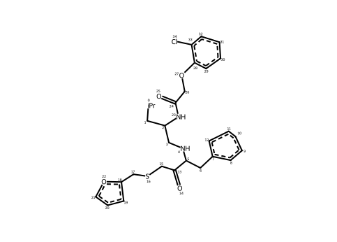 CC(C)CC(CNC(Cc1ccccc1)C(=O)CSCc1ccco1)NC(=O)COc1ccccc1Cl